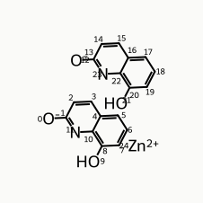 [O-]c1ccc2cccc(O)c2n1.[O-]c1ccc2cccc(O)c2n1.[Zn+2]